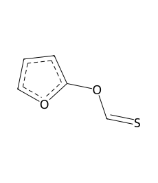 S=COc1ccco1